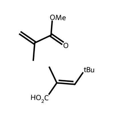 C/C(=C\C(C)(C)C)C(=O)O.C=C(C)C(=O)OC